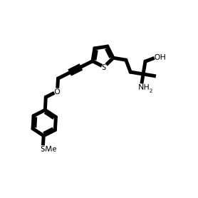 CSc1ccc(COCC#Cc2ccc(CCC(C)(N)CO)s2)cc1